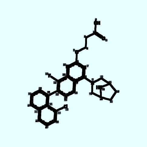 O=C(O)CCOc1nc(N2CC3CCC(C2)N3)c2cnc(-c3cccc4cccc(Cl)c34)c(F)c2n1